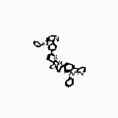 c1ccc(-n2c3cc(-c4ccc5oc6ccc(-c7ccc8c9cccnc9n(-c9ccccc9)c8c7)nc6c5n4)ccc3c3ncccc32)cc1